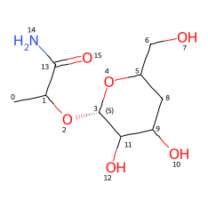 CC(O[C@@H]1OC(CO)CC(O)C1O)C(N)=O